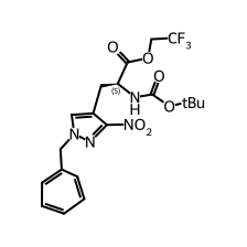 CC(C)(C)OC(=O)N[C@@H](Cc1cn(Cc2ccccc2)nc1[N+](=O)[O-])C(=O)OCC(F)(F)F